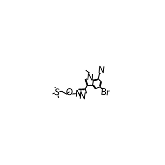 CCn1cc(-c2cnn(COCCS(C)(C)C)c2)c2cc(Br)cc(C#N)c21